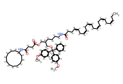 CC/C=C\C/C=C\C/C=C\C/C=C\C/C=C\C/C=C\CCC(=O)NCCCCC(COC(=O)CCC(=O)NC1CCCCCCCCCCC1)COC(c1ccccc1)(c1ccc(OC)cc1)c1ccc(OC)cc1